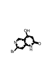 O=c1cc(O)c2cnc(Br)cc2[nH]1